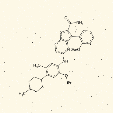 COc1ncccc1-c1c(C(N)=O)sc2cnc(Nc3cc(C)c(C4CCN(C)CC4)cc3OC(C)C)nc12